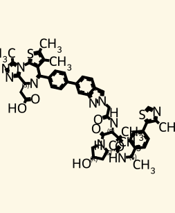 Cc1ncsc1-c1ccc([C@H](C)NC(=O)[C@@H]2C[C@@H](O)CN2C(=O)[C@@H](NC(=O)Cn2cc3ccc(-c4ccc(C5=N[C@@H](CC(=O)O)c6nnc(C)n6-c6sc(C)c(C)c65)cc4)cc3n2)C(C)(C)C)cc1